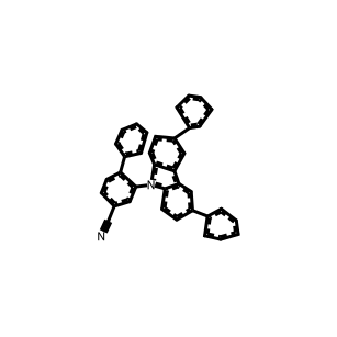 N#Cc1ccc(-c2ccccc2)c(-n2c3ccc(-c4ccccc4)cc3c3cc(-c4ccccc4)ccc32)c1